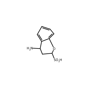 NC1CC(S(=O)(=O)O)Oc2ccccc21